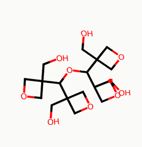 OCC1(C(OC(C2(CO)COC2)C2(CO)COC2)C2(CO)COC2)COC1